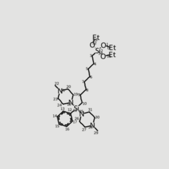 CCO[Si](CCCCCCCC[Si](c1ccccc1)(N1CCN(C)CC1)N1CCN(C)CC1)(OCC)OCC